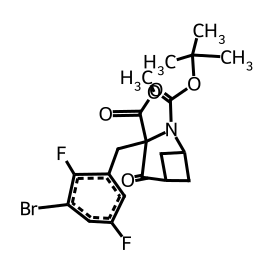 COC(=O)C1(Cc2cc(F)cc(Br)c2F)C(=O)C2CC(C2)N1C(=O)OC(C)(C)C